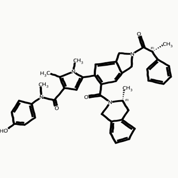 Cc1c(C(=O)N(C)c2ccc(O)cc2)cc(-c2cc3c(cc2C(=O)N2Cc4ccccc4C[C@H]2C)CN(C(=O)[C@H](C)c2ccccc2)C3)n1C